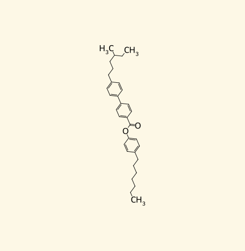 CCCCCCCc1ccc(OC(=O)c2ccc(-c3ccc(CCCC(C)CC)cc3)cc2)cc1